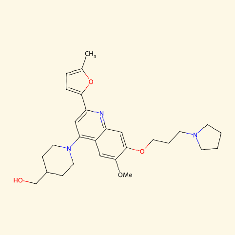 COc1cc2c(N3CCC(CO)CC3)cc(-c3ccc(C)o3)nc2cc1OCCCN1CCCC1